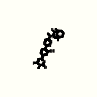 CN(c1cnc(-c2ccc(-c3cc(F)n(C)c(=O)n3)cc2O)nn1)[C@@H]1C[C@@]2(C)CCC[C@](C)(C2)[C@@H]1F